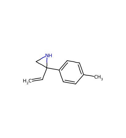 C=CC1(c2ccc(C)cc2)CN1